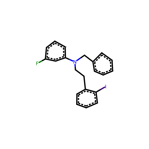 Fc1cc[c]c(N(CCc2ccccc2I)Cc2ccccc2)c1